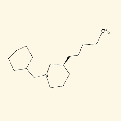 CCCCC[C@H]1CCCN(CC2CCCCC2)C1